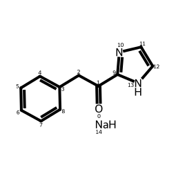 O=C(Cc1ccccc1)c1ncc[nH]1.[NaH]